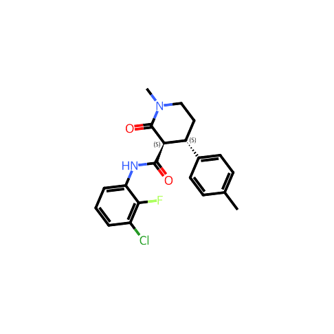 Cc1ccc([C@H]2CCN(C)C(=O)[C@@H]2C(=O)Nc2cccc(Cl)c2F)cc1